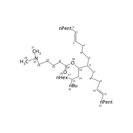 CCCCCC=CCCCC(CCCC=CCCCCC)C(CC(CCCC)CCCCCC)OC(=O)CCCCN(C)C